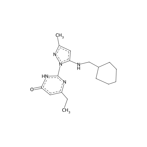 CCc1cc(=O)[nH]c(-n2nc(C)cc2NCC2CCCCC2)n1